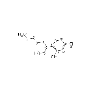 CCCCCC(CO)c1ccc(Cl)cc1Cl